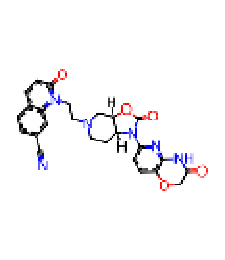 N#Cc1ccc2ccc(=O)n(CCN3CC[C@@H]4[C@H](C3)OC(=O)N4c3ccc4c(n3)NC(=O)CO4)c2c1